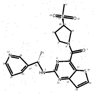 C[C@H](Nc1nc(C(=O)N2CC[C@@H](S(C)(=O)=O)C2)c2sccc2n1)c1cccnc1